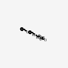 O=C(CCNCCCc1ccc(OCCCc2ccccc2)cc1)NS(=O)(=O)c1csc(Cl)c1